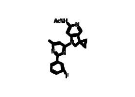 CC(=O)Nc1cc2c(cn1)C1(CC1)CN2c1cc(C)nc(-c2cccc(F)c2)n1